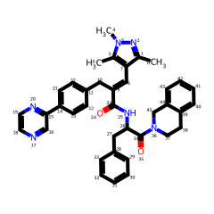 Cc1nn(C)c(C)c1C=C(Cc1ccc(-c2cnccn2)cc1)C(=O)NC(Cc1ccccc1)C(=O)N1CCc2ccccc2C1